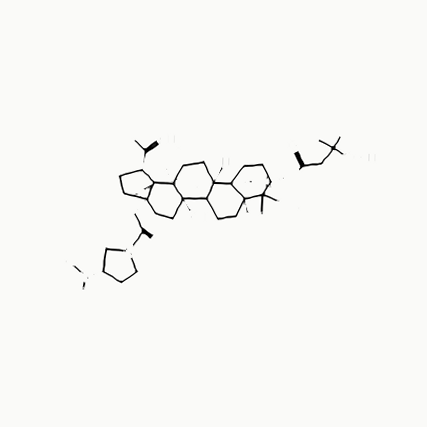 C=C(C)[C@@H]1CC[C@]2(CC(=O)N3CC[C@H](N(C)C)C3)CC[C@]3(C)[C@H](CC[C@@H]4[C@@]5(C)CC[C@H](OC(=O)CC(C)(C)C(=O)O)C(C)(C)[C@@H]5CC[C@]43C)[C@@H]12